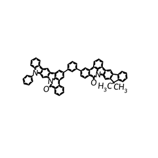 CC1(C)c2ccccc2-c2cc3c4cccc5c6cc(-c7cccc(-c8cc9c%10ccccc%10c(=O)n%10c%11cc%12c(cc%11c(c8)c9%10)c8ccccc8n%12-c8ccccc8)c7)ccc6c(=O)n(c3cc21)c54